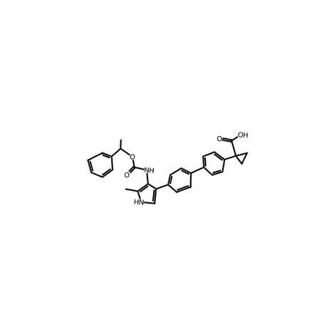 Cc1[nH]cc(-c2ccc(-c3ccc(C4(C(=O)O)CC4)cc3)cc2)c1NC(=O)OC(C)c1ccccc1